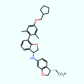 Cc1cc(OCC2CCCC2)cc(C)c1-c1cccc2c1OC[C@H]2Nc1ccc2c(c1)OC[C@H]2CC(=O)O